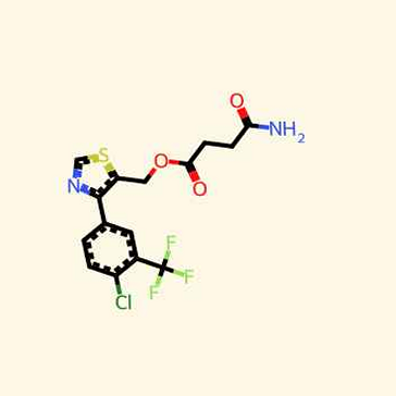 NC(=O)CCC(=O)OCc1scnc1-c1ccc(Cl)c(C(F)(F)F)c1